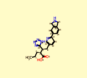 CCC[C@H](C(=O)O)[C@H](Cc1ccc(-c2ccc3c(c2)CNC3)nc1)c1nnn[nH]1